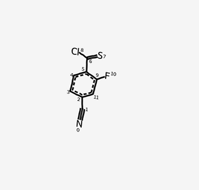 N#Cc1ccc(C(=S)Cl)c(F)c1